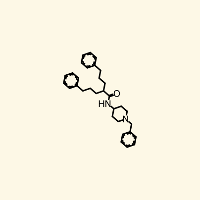 O=C(NC1CCN(Cc2ccccc2)CC1)C(CCCc1ccccc1)CCCc1ccccc1